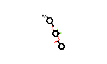 CC1CCC(COc2ccc(OC(=O)c3ccccc3)c(F)c2F)CC1